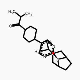 CC(C)C(=O)C1CCC(c2cnc(N3C4CCC3CN(C(C)C)C4)nc2)CC1